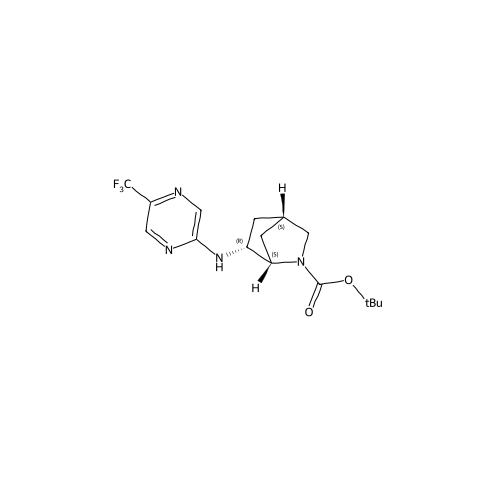 CC(C)(C)OC(=O)N1C[C@H]2C[C@@H](Nc3cnc(C(F)(F)F)cn3)[C@@H]1C2